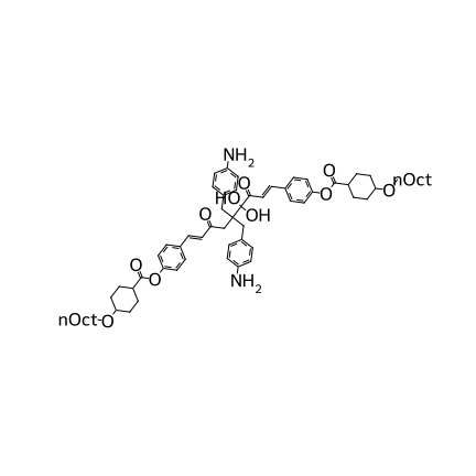 CCCCCCCCOC1CCC(C(=O)Oc2ccc(/C=C/C(=O)CC(Cc3ccc(N)cc3)(Cc3ccc(N)cc3)C(O)(O)C(=O)/C=C/c3ccc(OC(=O)C4CCC(OCCCCCCCC)CC4)cc3)cc2)CC1